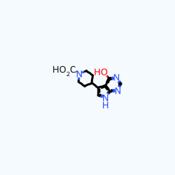 O=C(O)N1CCC(c2c[nH]c3ncnc(O)c23)CC1